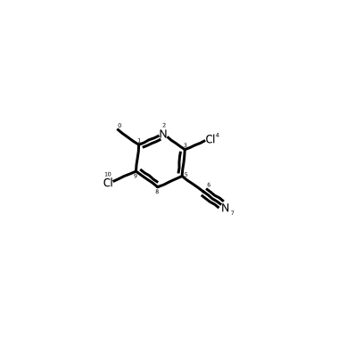 Cc1nc(Cl)c(C#N)cc1Cl